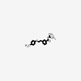 Cc1ccc(SCCc2cccc(C(=O)SC(C)C)c2)cc1